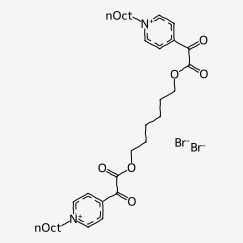 CCCCCCCC[n+]1ccc(C(=O)C(=O)OCCCCCCOC(=O)C(=O)c2cc[n+](CCCCCCCC)cc2)cc1.[Br-].[Br-]